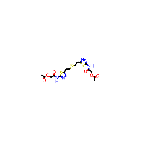 CC(=O)OCC(=O)Nc1nnc(CCSCCc2nnc(NC(=O)COC(C)=O)s2)s1